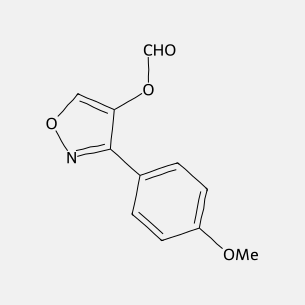 COc1ccc(-c2nocc2OC=O)cc1